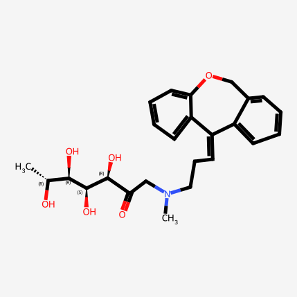 C[C@@H](O)[C@@H](O)[C@H](O)[C@@H](O)C(=O)CN(C)CCC=C1c2ccccc2COc2ccccc21